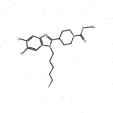 CC(C)(C)OC(=O)N1CCC(c2nc3cc(Cl)c(Cl)cc3n2CCCCCI)CC1